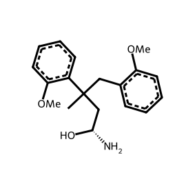 COc1ccccc1CC(C)(C[C@H](N)O)c1ccccc1OC